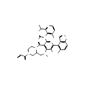 C=CC(=O)N1CCN2c3nc(=O)n(-c4c(C)ccnc4C(C)C)c4nc(-c5c(C)ccc6[nH]ncc56)c(F)c(c34)N(C)CC2C1